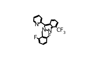 Fc1cccc(F)c1Cn1nc2c(C(F)(F)F)cccc2c1-c1ccccn1